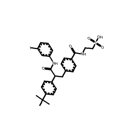 CC(C)(C)c1ccc(C(Cc2ccc(C(=O)NCCS(=O)(=O)O)cc2)C(=O)Nc2cccc(I)c2)cc1